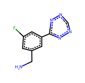 NCc1cc(F)cc(-c2nncnn2)c1